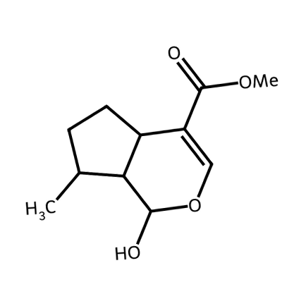 COC(=O)C1=COC(O)C2C(C)CCC12